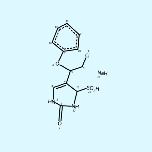 O=C1NC=C(C(CCl)Oc2ccccc2)C(S(=O)(=O)O)N1.[NaH]